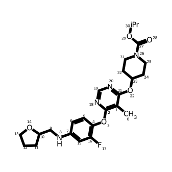 Cc1c(Oc2ccc(NCC3CCCO3)cc2F)ncnc1OC1CCN(C(=O)OC(C)C)CC1